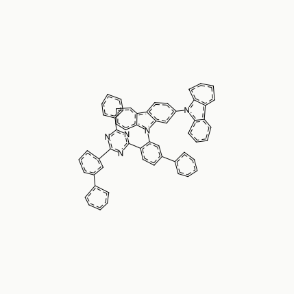 c1ccc(-c2cccc(-c3nc(-c4ccccc4)nc(-c4ccc(-c5ccccc5)cc4-n4c5ccccc5c5ccc(-n6c7ccccc7c7ccccc76)cc54)n3)c2)cc1